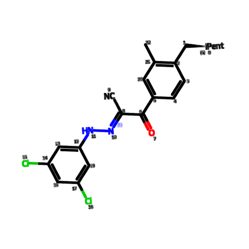 CCC[C@H](C)Cc1ccc(C(=O)/C(C#N)=N/Nc2cc(Cl)cc(Cl)c2)cc1C